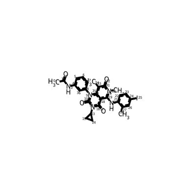 CC(=O)Nc1cccc(-n2c(=O)n(C3CC3)c(=O)c3c(Nc4ccc(I)cc4C)n(C)c(=O)c(C)c32)c1